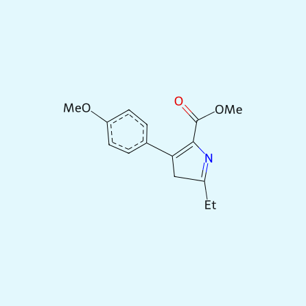 CCC1=NC(C(=O)OC)=C(c2ccc(OC)cc2)C1